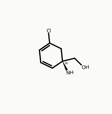 [NH][C@@]1(CO)C=CC=C(Cl)C1